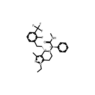 CCn1nc(C)c2c1CCN([C@@H](C(=O)NC)c1ccccc1)[C@H]2CCc1cccc(C(F)(F)F)c1F